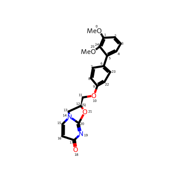 COc1cccc(-c2ccc(OC[C@@H]3Cn4ccc(=O)nc4O3)cc2)c1OC